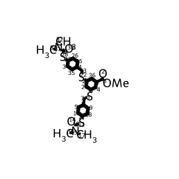 COC(=O)c1cc(SCc2ccc(SC(=O)N(C)C)cc2)cc(SCc2ccc(SC(=O)N(C)C)cc2)c1